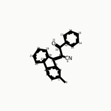 Cc1ccc2c(c1)/C(=C(\C#N)C(=O)c1ccccc1)c1ccccc1-2